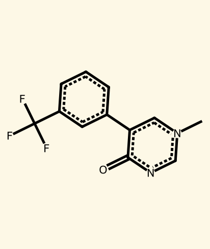 Cn1cnc(=O)c(-c2cccc(C(F)(F)F)c2)c1